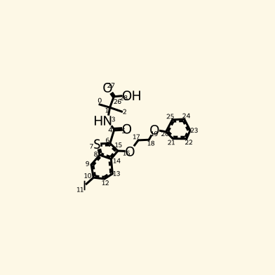 CC(C)(NC(=O)c1sc2cc(I)ccc2c1OCCOc1ccccc1)C(=O)O